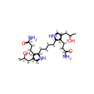 CC(O)Cc1c[nH]c(CCCCc2[nH]cc(CC(C)O)c2CCC(N)=O)c1CCC(N)=O